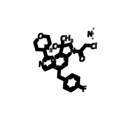 CC1(C)CN(C(=O)CCl)c2cc(Cc3ccc(F)cc3)c3cnc(C4CCOCC4)n3c21.[N]